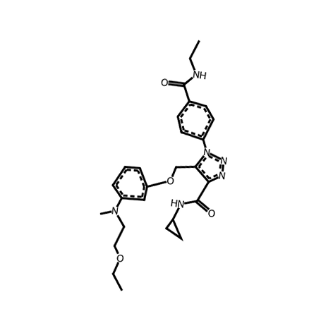 CCNC(=O)c1ccc(-n2nnc(C(=O)NC3CC3)c2COc2cccc(N(C)CCOCC)c2)cc1